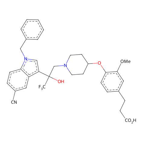 COc1cc(CCC(=O)O)ccc1OC1CCN(CC(O)(c2cn(Cc3ccccc3)c3ccc(C#N)cc23)C(F)(F)F)CC1